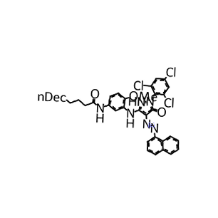 CCCCCCCCCCCCCC(=O)Nc1ccc(OC)c(Nc2[nH]n(-c3c(Cl)cc(Cl)cc3Cl)c(=O)c2/N=N/c2cccc3ccccc23)c1